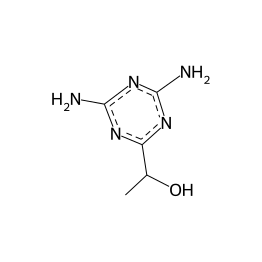 CC(O)c1nc(N)nc(N)n1